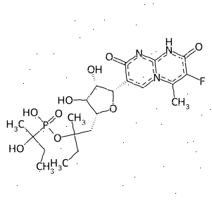 CCC(C)(C[C@H]1O[C@@H](c2cn3c(C)c(F)c(=O)[nH]c3nc2=O)[C@@H](O)C1O)OP(=O)(O)C(C)(O)CC